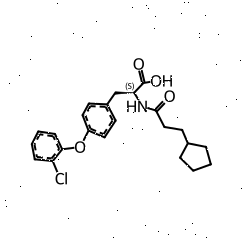 O=C(CCC1CCCC1)N[C@@H](Cc1ccc(Oc2ccccc2Cl)cc1)C(=O)O